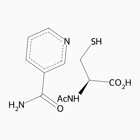 CC(=O)N[C@@H](CS)C(=O)O.NC(=O)c1cccnc1